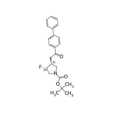 CC(C)(C)OC(=O)N1C[C@H](CC(=O)c2ccc(-c3ccccc3)cc2)[C@@H](F)C1